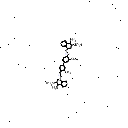 CSc1cc(-c2ccc(/N=N/c3cc(S(=O)(=O)O)c(N)c4ccccc34)c(SC)c2)ccc1/N=N/c1cc(S(=O)(=O)O)c(N)c2ccccc12